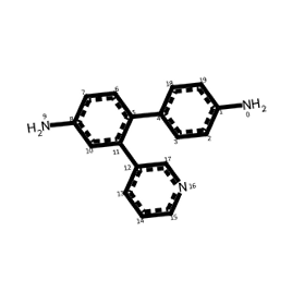 Nc1ccc(-c2ccc(N)cc2-c2cccnc2)cc1